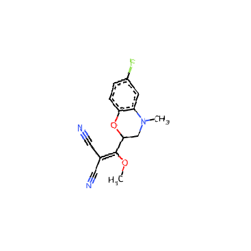 COC(=C(C#N)C#N)C1CN(C)c2cc(F)ccc2O1